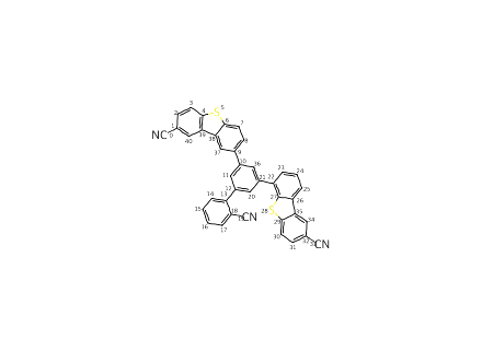 N#Cc1ccc2sc3ccc(-c4cc(-c5ccccc5C#N)cc(-c5cccc6c5sc5ccc(C#N)cc56)c4)cc3c2c1